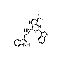 CC(C)n1cnc2c(NCCc3c[nH]c4cc[c]cc34)nc(-c3csc4ccccc34)nc21